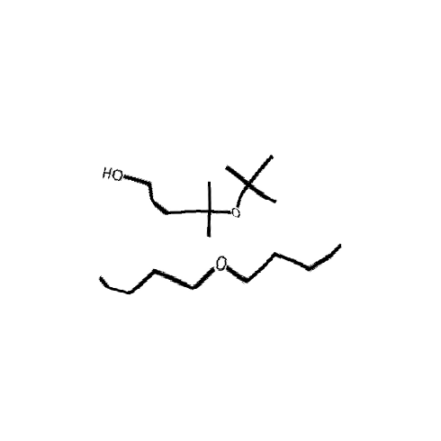 CC(C)(C)OC(C)(C)CCO.CCCCOCCCC